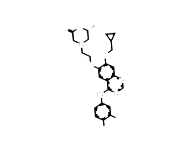 C[C@H]1CN(CCOc2cc3c(Nc4ccc(F)c(Cl)c4)ncnc3cc2OCC2CC2)CC(=O)O1